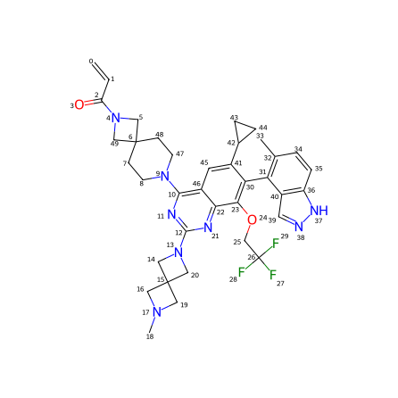 C=CC(=O)N1CC2(CCN(c3nc(N4CC5(CN(C)C5)C4)nc4c(OCC(F)(F)F)c(-c5c(C)ccc6[nH]ncc56)c(C5CC5)cc34)CC2)C1